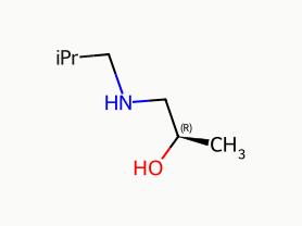 CC(C)CNC[C@@H](C)O